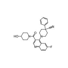 N#CC1(c2ccccc2)CCN(c2c(C(=O)N3CCC(O)CC3)cnc3ccc(F)cc23)CC1